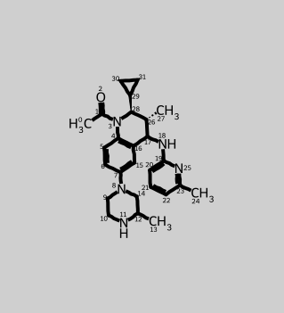 CC(=O)N1c2ccc(N3CCNC(C)C3)cc2C(Nc2cccc(C)n2)[C@@H](C)[C@@H]1C1CC1